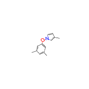 Cc1cc(C)cc(On2ccc(C)c2)c1